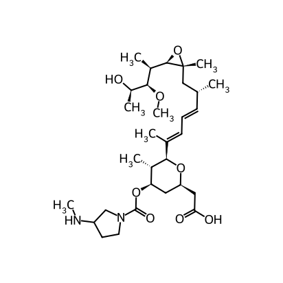 CNC1CCN(C(=O)O[C@@H]2C[C@H](CC(=O)O)O[C@H](/C(C)=C/C=C/[C@@H](C)C[C@@]3(C)O[C@@H]3[C@H](C)[C@@H](OC)[C@@H](C)O)[C@H]2C)C1